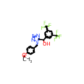 COc1ccc(Cn2nnnc2C(O)c2cc(C(F)(F)F)cc(C(F)(F)F)c2)cc1